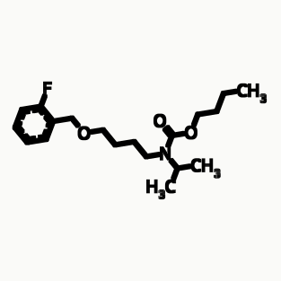 CCCCOC(=O)N(CCCCOCc1ccccc1F)C(C)C